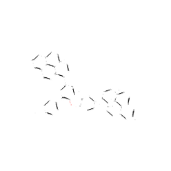 C[Si](C)(C)c1ccc(-c2cc(-c3ccc4ccc5cccc6ccc3c4c56)cc3c2OC2C=CC(c4ccc5ccc6cccc7ccc4c5c67)=CC32)cc1